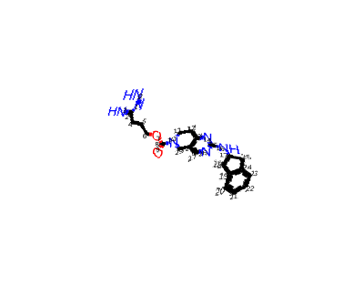 N=NC(=N)CCCOC(=O)N1CCc2nc(NC3Cc4ccccc4C3)ncc2C1